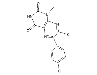 Cn1c(=O)[nH]c(=O)c2nc(-c3ccc(Cl)cc3)c(Cl)nc21